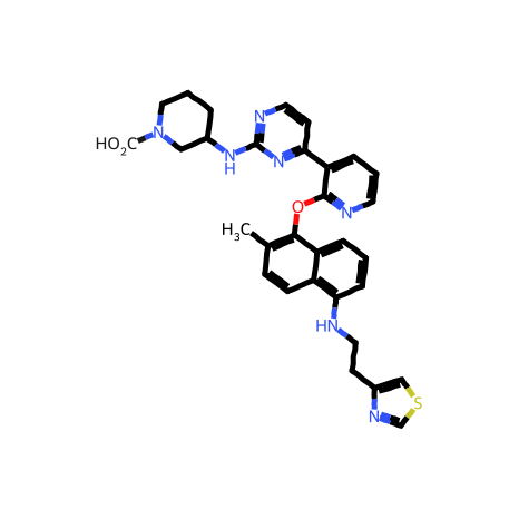 Cc1ccc2c(NCCc3cscn3)cccc2c1Oc1ncccc1-c1ccnc(NC2CCCN(C(=O)O)C2)n1